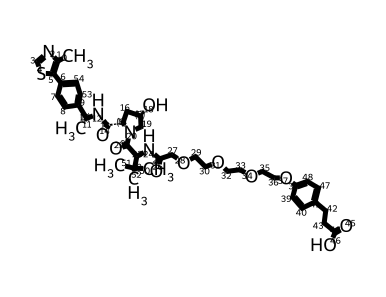 Cc1ncsc1-c1ccc([C@H](C)NC(=O)[C@@H]2C[C@@H](O)CN2C(=O)C(NC(=O)COCCOCCOCCOc2ccc(CCC(=O)O)cc2)C(C)(C)C)cc1